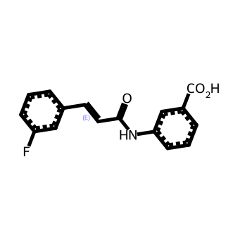 O=C(/C=C/c1cccc(F)c1)Nc1cccc(C(=O)O)c1